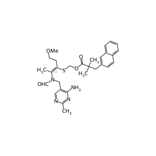 COCC/C(SCOC(=O)C(C)(C)Cc1ccc2ccccc2c1)=C(\C)N(C=O)Cc1cnc(C)nc1N